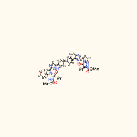 COC(=O)N[C@H](C(=O)N1C[C@]2(CCCOC2)C[C@H]1c1ncc(-c2ccc(-c3ccc4c(ccc5nc([C@@H]6CCCN6C(=O)[C@@H](NC(=O)OC)C(C)C)[nH]c54)c3)cc2)[nH]1)C(C)C